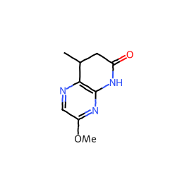 COc1cnc2c(n1)NC(=O)CC2C